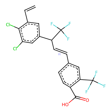 C=Cc1cc(C(/C=C/c2ccc(C(=O)O)c(C(F)(F)F)c2)C(F)(F)F)cc(Cl)c1Cl